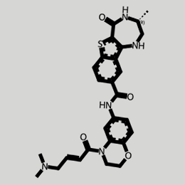 C[C@@H]1CNc2c(sc3ccc(C(=O)Nc4ccc5c(c4)N(C(=O)C=CCN(C)C)CCO5)cc23)C(=O)N1